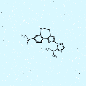 CC(C)c1ncnn1-c1nc2c(s1)CCOc1cc(C(N)=O)ccc1-2